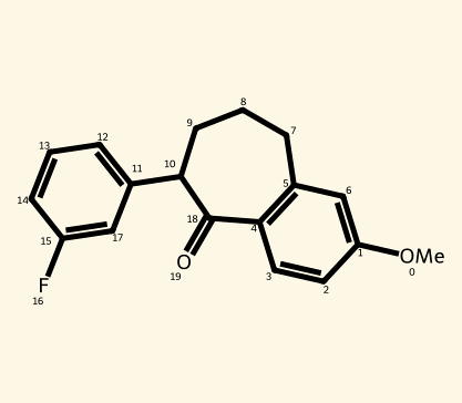 COc1ccc2c(c1)CCCC(c1cccc(F)c1)C2=O